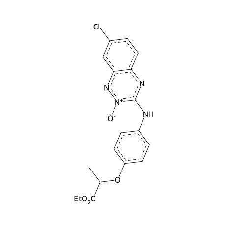 CCOC(=O)C(C)Oc1ccc(Nc2nc3ccc(Cl)cc3n[n+]2[O-])cc1